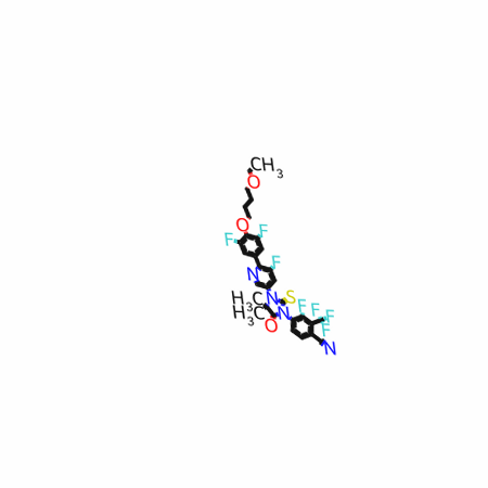 CCOCCCCOc1c(F)cc(-c2ncc(N3C(=S)N(c4ccc(C#N)c(C(F)(F)F)c4F)C(=O)C3(C)C)cc2F)cc1F